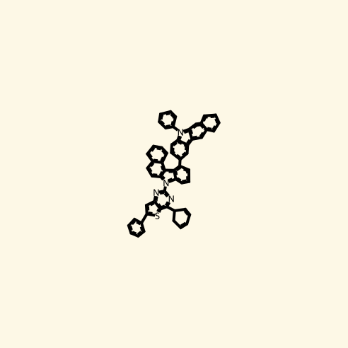 C1=CCC(c2nc(-n3c4cccc(-c5ccc6c(c5)c5cc7ccccc7cc5n6-c5ccccc5)c4c4c5ccccc5ccc43)nc3cc(-c4ccccc4)sc23)C=C1